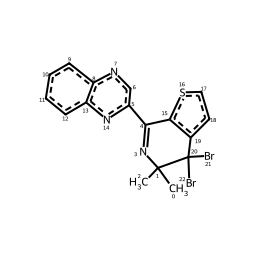 CC1(C)N=C(c2cnc3ccccc3n2)c2sccc2C1(Br)Br